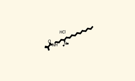 C=C(C)C(=O)NCCCC(CCCCCCCCCCC)N(C)C.Cl